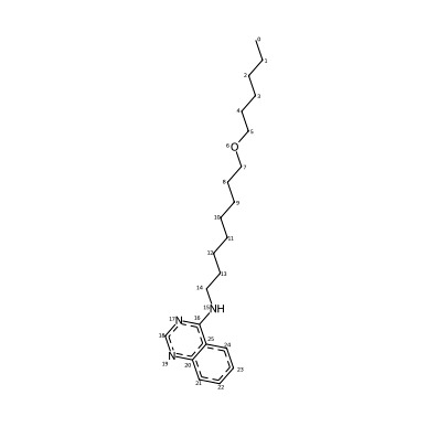 CCCCCCOCCCCCCCCNc1ncnc2ccccc12